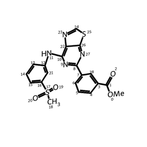 COC(=O)c1cccc(-c2nc(Nc3cccc(S(C)(=O)=O)c3)c3ncsc3n2)c1